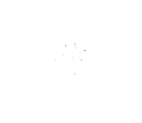 c1ccc(-c2ccc(-c3ccccc3)c(-n3c4ccccc4c4cccc(-n5c6ccccc6c6cccc([Si](c7ccccc7)(c7ccccc7)c7ccccc7)c65)c43)c2)cc1